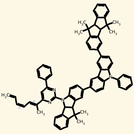 C=C/C=C\C=C(/C)c1cc(-c2ccccc2)nc(N2c3ccc(-c4ccc5c(c4)c4cc(-c6ccc7c(c6)C6C(c8ccccc8C6(C)C)C7(C)C)ccc4n5-c4ccccc4)cc3C3C2c2ccccc2C3(C)C)n1